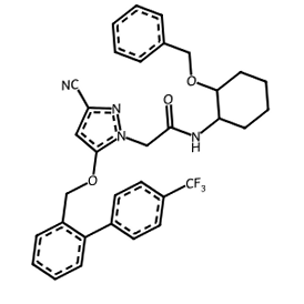 N#Cc1cc(OCc2ccccc2-c2ccc(C(F)(F)F)cc2)n(CC(=O)NC2CCCCC2OCc2ccccc2)n1